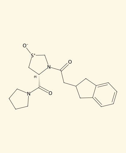 O=C([C@@H]1C[S+]([O-])CN1C(=O)CC1Cc2ccccc2C1)N1CCCC1